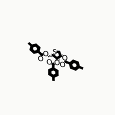 Cc1ccc(C(=O)OC[C@@H]2SC[C@H](OC(=O)c3ccc(C)cc3)[C@H]2OC(=O)c2ccc(C)cc2)cc1